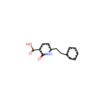 O=C(O)c1ccc(CCc2ccccc2)[nH]c1=O